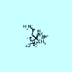 CC(N)(CCN)S(=O)(=O)[O-].[Na+]